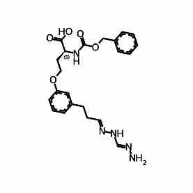 NN=CNN=CCCc1cccc(OCC[C@H](NC(=O)OCc2ccccc2)C(=O)O)c1